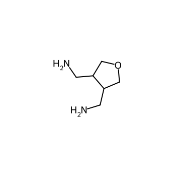 NCC1COCC1CN